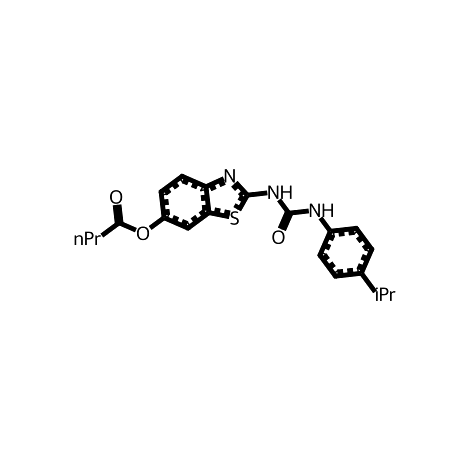 CCCC(=O)Oc1ccc2nc(NC(=O)Nc3ccc(C(C)C)cc3)sc2c1